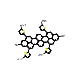 CCCCCCc1ccc(-c2cc3c4ccc5c6c(-c7ccc(CCCCCC)s7)cc7cc(C(C)(C)C)cc8cc(-c9ccc(CCCCCC)s9)c(c9ccc(c%10cc(-c%11ccc(CCCCCC)s%11)c%11cc(C(C)(C)C)cc2c%11c3%10)c4c59)c6c78)s1